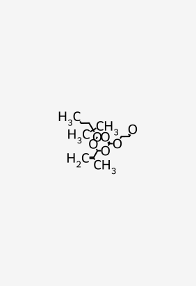 C=C(C)C(OOC(C)(C)CCC)OC(=O)OCC=O